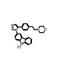 CCn1c2ccccc2c2cc(-n3nncc3-c3ccc(CCN4CCOCC4)cc3)ccc21